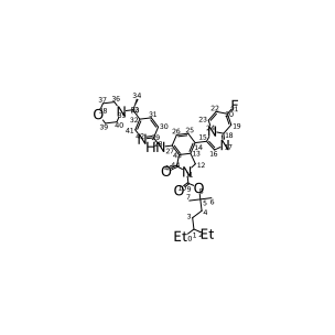 CCC(CC)CCC(C)(C)OC(=O)N1Cc2c(-c3cnc4cc(F)ccn34)ccc(Nc3ccc([C@H](C)N4CCOCC4)cn3)c2C1=O